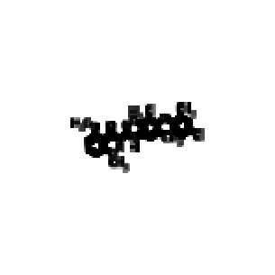 COc1cccc(OC)c1C(=O)NC(=O)Nc1cc(C)c(Oc2ccc(Cl)cc2C)c(Cl)c1C